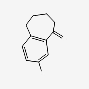 O=C1CCCCc2ccc(Br)cc21